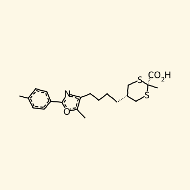 Cc1ccc(-c2nc(CCCC[C@H]3CS[C@@](C)(C(=O)O)SC3)c(C)o2)cc1